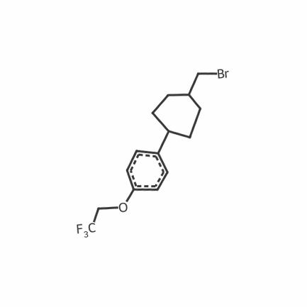 FC(F)(F)COc1ccc(C2CCC(CBr)CC2)cc1